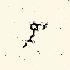 CCOC(=O)C=Cc1cccc(OC(C)C)c1